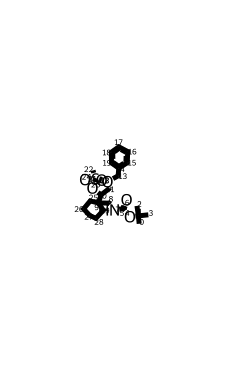 CC(C)(C)OC(=O)NCC1(C(COCc2ccccc2)OS(C)(=O)=O)CCCCC1